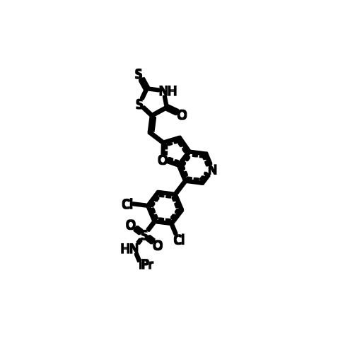 CC(C)NS(=O)(=O)c1c(Cl)cc(-c2cncc3cc(C=C4SC(=S)NC4=O)oc23)cc1Cl